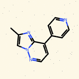 Cc1cn2nccc(-c3ccncc3)c2n1